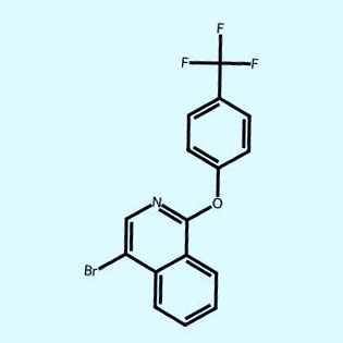 FC(F)(F)c1ccc(Oc2ncc(Br)c3ccccc23)cc1